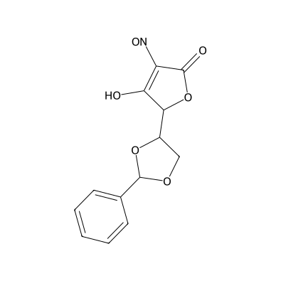 O=NC1=C(O)C(C2COC(c3ccccc3)O2)OC1=O